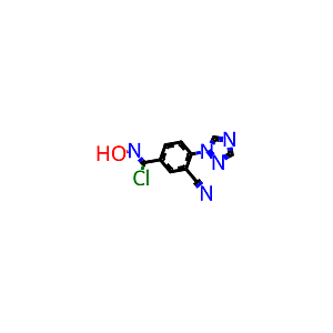 N#Cc1cc(C(Cl)=NO)ccc1-n1cncn1